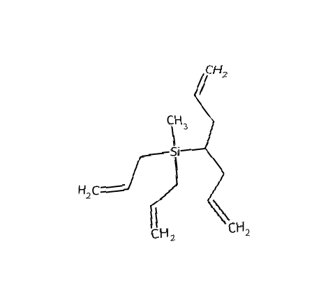 C=CCC(CC=C)[Si](C)(CC=C)CC=C